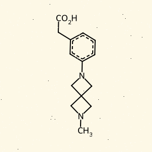 CN1CC2(C1)CN(c1cccc(CC(=O)O)c1)C2